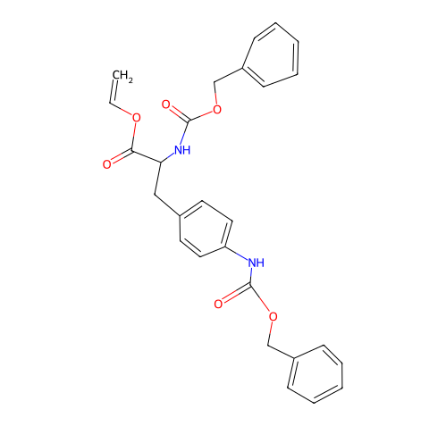 C=COC(=O)C(Cc1ccc(NC(=O)OCc2ccccc2)cc1)NC(=O)OCc1ccccc1